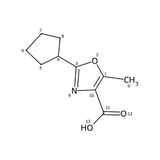 Cc1oc(C2CCCC2)nc1C(=O)O